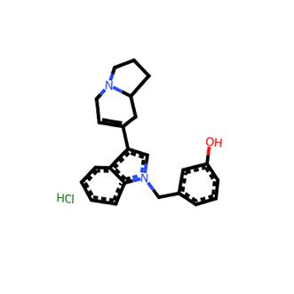 Cl.Oc1cccc(Cn2cc(C3=CCN4CCCC4C3)c3ccccc32)c1